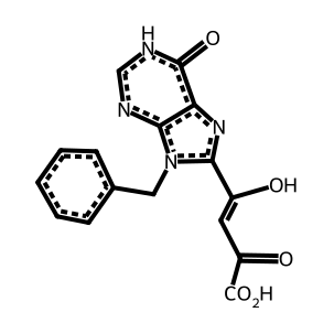 O=C(O)C(=O)C=C(O)c1nc2c(=O)[nH]cnc2n1Cc1ccccc1